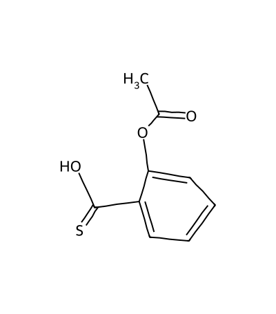 CC(=O)Oc1ccccc1C(O)=S